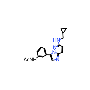 CC(=O)Nc1cccc(-c2cnc3ccc(NCC4CC4)nn23)c1